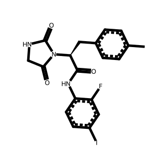 Cc1ccc(C[C@@H](C(=O)Nc2ccc(I)cc2F)N2C(=O)CNC2=O)cc1